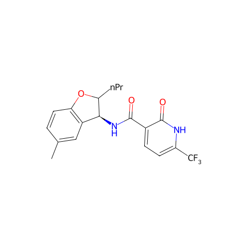 CCCC1Oc2ccc(C)cc2[C@@H]1NC(=O)c1ccc(C(F)(F)F)[nH]c1=O